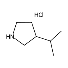 CC(C)C1CCNC1.Cl